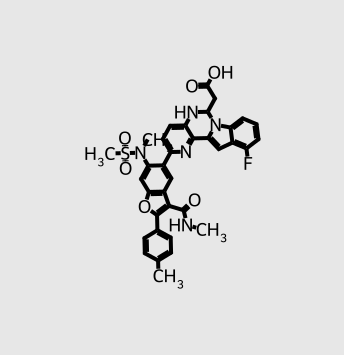 CNC(=O)c1c(-c2ccc(C)cc2)oc2cc(N(C)S(C)(=O)=O)c(-c3ccc4c(n3)-c3cc5c(F)cccc5n3C(CC(=O)O)N4)cc12